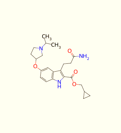 CC(C)N1CCC(Oc2ccc3[nH]c(C(=O)OCC4CC4)c(CCC(N)=O)c3c2)C1